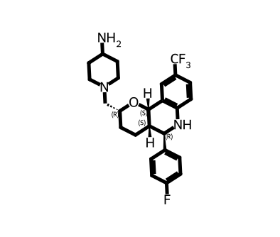 NC1CCN(C[C@H]2CC[C@@H]3[C@H](O2)c2cc(C(F)(F)F)ccc2N[C@H]3c2ccc(F)cc2)CC1